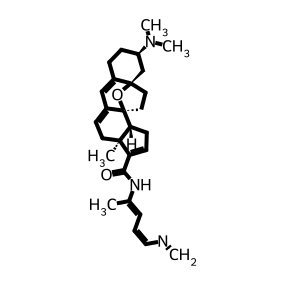 C=N/C=C\C=C(/C)NC(=O)C1=CC[C@@H]2[C@]1(C)CC=C1C=C3CC[C@@H](N(C)C)C[C@]34CC[C@@]12O4